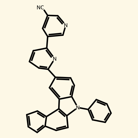 N#Cc1cncc(-c2cccc(-c3ccc4c(c3)c3c5ccccc5ccc3n4-c3ccccc3)n2)c1